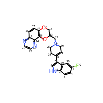 Fc1ccc2[nH]cc(C3=CCN(CC4COc5ccc6nccnc6c5O4)CC3)c2c1